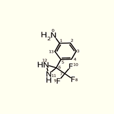 Nc1cccc(C2(C(F)(F)F)NN2)c1